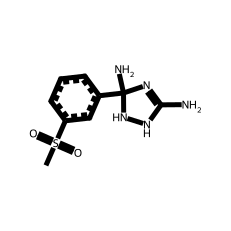 CS(=O)(=O)c1cccc(C2(N)N=C(N)NN2)c1